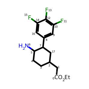 CCOC(=O)CC1CCC(N)C(c2cc(F)c(F)c(F)c2)C1